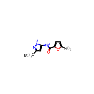 CCOC(=O)c1cc(NC(=O)c2ccc([N+](=O)[O-])o2)[nH]n1